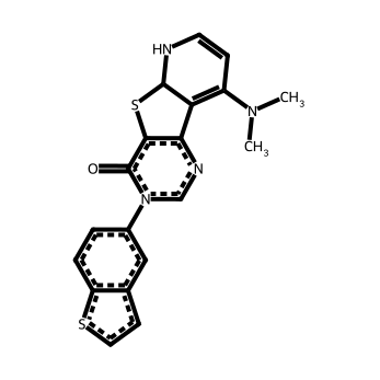 CN(C)C1=C2c3ncn(-c4ccc5sccc5c4)c(=O)c3SC2NC=C1